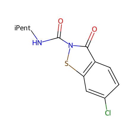 CCCC(C)NC(=O)n1sc2cc(Cl)ccc2c1=O